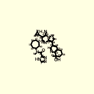 CN(C(=O)c1nnc[nH]1)[C@@H]1CCCC[C@H](c2nc3c(-c4cnc5c(c4)CCCC5(C)O)cnn3c(N)c2C2CC2)C1